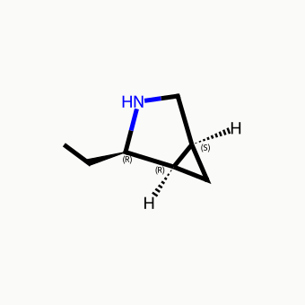 CC[C@H]1NC[C@H]2C[C@H]21